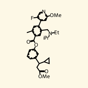 CCN(Cc1cc(C(=O)Oc2cccc(C(CC(=O)OC)C3CC3)c2)c(C)cc1-c1cc(OC)ncc1F)C(C)C